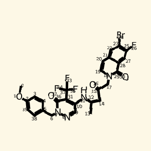 COc1ccc(Cn2ncc(NC(C)CC(=O)Cn3ccc4cc(Br)c(F)cc4c3=O)c(C(F)(F)F)c2=O)cc1